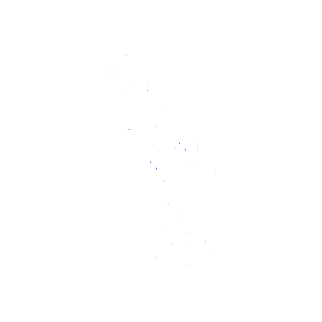 COc1ccc(-c2nc3cc(C(=O)C(C)(C)C)ccc3[nH]2)cc1